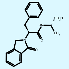 C[C@H](NC(=O)[C@H](Cc1ccccc1)N1Cc2ccccc2C1=O)C(=O)O